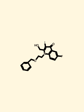 O=c1c(I)c(CO)n(CCOCc2ccccc2)c2ccc(F)cc12